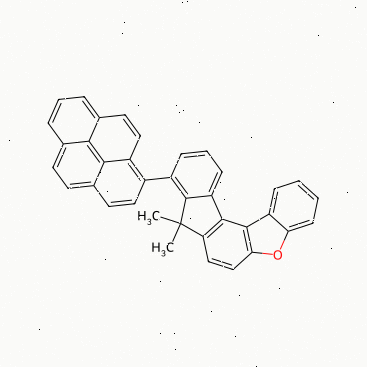 CC1(C)c2ccc3oc4ccccc4c3c2-c2cccc(-c3ccc4ccc5cccc6ccc3c4c56)c21